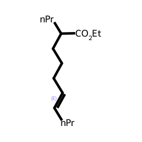 CCC/C=C/CCCC(CCC)C(=O)OCC